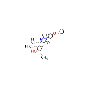 CCCCc1nc(C)n(-c2ccc(OCc3ccccc3)cc2)c(=O)c1Cc1cc(CCC)c(O)c(CCC)c1